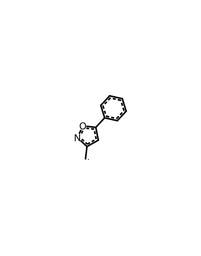 [CH2]c1cc(-c2ccccc2)on1